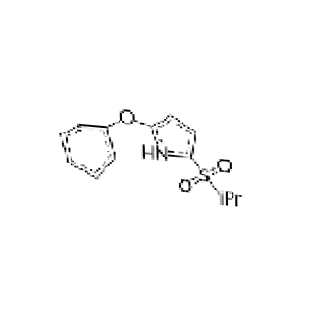 CC(C)S(=O)(=O)c1ccc(Oc2ccccc2)[nH]1